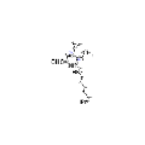 C/C=C(CCNCCCCCC(C)C)\C(=C/C(=N)C=O)C1CC1